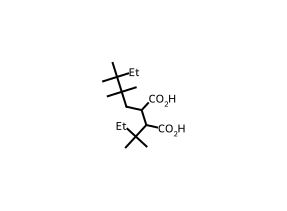 CCC(C)(C)C(C(=O)O)C(CC(C)(C)C(C)(C)CC)C(=O)O